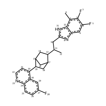 Cc1c(F)c(F)cc2nc(CC(C)C3CC4CC3CC4c3ccnc4ccc(F)cc34)[nH]c12